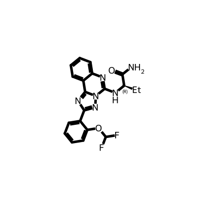 CC[C@@H](Nc1nc2ccccc2c2nc(-c3ccccc3OC(F)F)nn12)C(N)=O